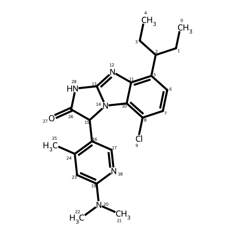 CCC(CC)c1ccc(Cl)c2c1nc1n2C(c2cnc(N(C)C)cc2C)C(=O)N1